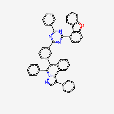 c1ccc(-c2nc(-c3cccc(-c4c(-c5ccccc5)n5ncc(-c6ccccc6)c5c5ccccc45)c3)nc(-c3cccc4oc5ccccc5c34)n2)cc1